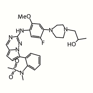 COc1cc(N2CCN(CC(C)O)CC2)c(F)cc1Nc1ncc2ccc(-c3ccccc3N(C)S(C)(=O)=O)n2n1